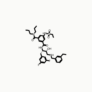 CCCN(CCC)C(=O)c1cc(NS(=O)(=O)CC)cc(C(=O)N[C@@H](Cc2cc(F)cc(F)c2)[C@H](O)CNCc2cccc(CC)c2)c1